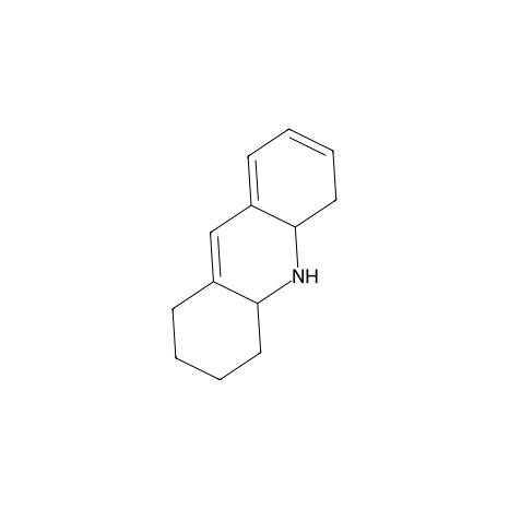 C1=CCC2NC3CCCCC3=CC2=C1